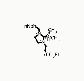 CCCCCCCCCCN1CCN(CCC(=O)OCC)C1[SiH](C)C